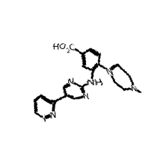 CN1CCN(c2ccc(C(=O)O)cc2Nc2ncc(-c3cccnn3)cn2)CC1